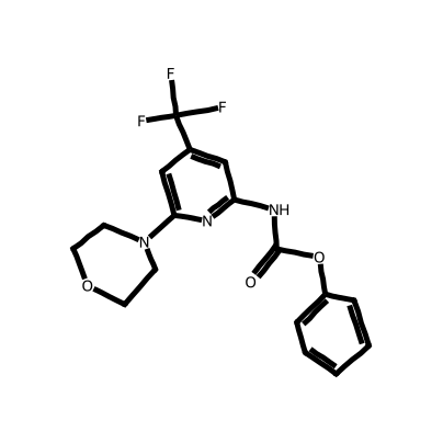 O=C(Nc1cc(C(F)(F)F)cc(N2CCOCC2)n1)Oc1ccccc1